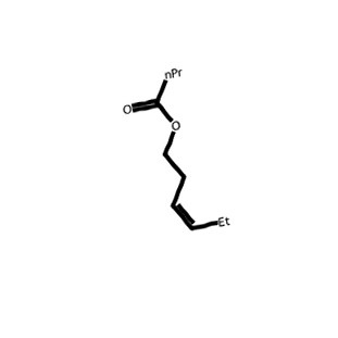 CC/C=C\CCOC(=O)CCC